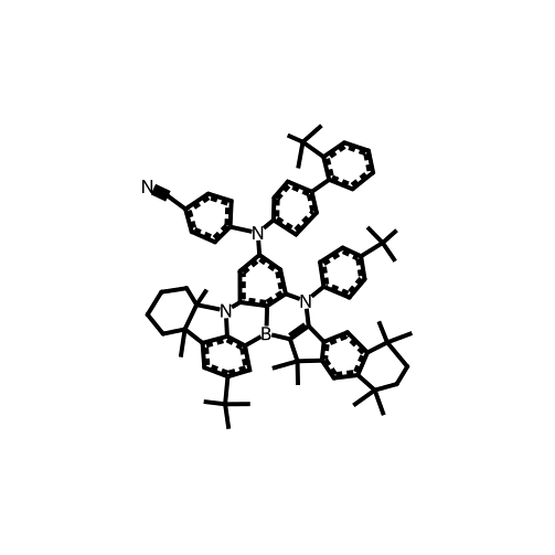 CC(C)(C)c1ccc(N2C3=C(B4c5cc(C(C)(C)C)cc6c5N(c5cc(N(c7ccc(C#N)cc7)c7ccc(-c8ccccc8C(C)(C)C)cc7)cc2c54)C2(C)CCCCC62C)C(C)(C)c2cc4c(cc23)C(C)(C)CCC4(C)C)cc1